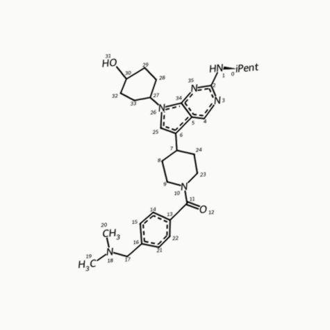 CCC[C@H](C)Nc1ncc2c(C3CCN(C(=O)c4ccc(CN(C)C)cc4)CC3)cn(C3CCC(O)CC3)c2n1